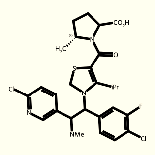 CNC(c1ccc(Cl)nc1)C(c1ccc(Cl)c(F)c1)N1CSC(C(=O)N2C(C(=O)O)CC[C@H]2C)=C1C(C)C